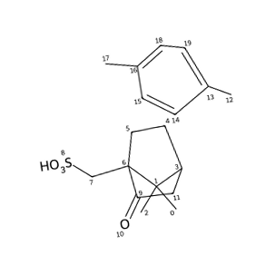 CC1(C)C2CCC1(CS(=O)(=O)O)C(=O)C2.Cc1ccc(C)cc1